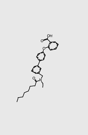 CCCCCCCC(=O)N(CC)Cc1cccc(-c2ccc(Oc3ccccc3C(=O)O)cc2)c1